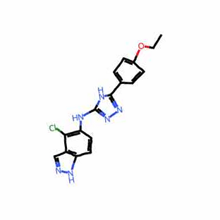 CCOc1ccc(-c2nnc(Nc3ccc4[nH]ncc4c3Cl)[nH]2)cc1